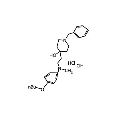 CCCCOc1ccc(N(C)CCC2(O)CCN(Cc3ccccc3)CC2)cc1.Cl.Cl